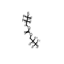 FC(F)(F)C(F)(F)COC(=S)OCC(F)(F)C(F)(F)F